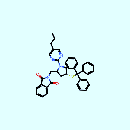 CCCc1cnc(N2C[C@H](SC(c3ccccc3)(c3ccccc3)c3ccccc3)C[C@H]2CN2C(=O)c3ccccc3C2=O)nc1